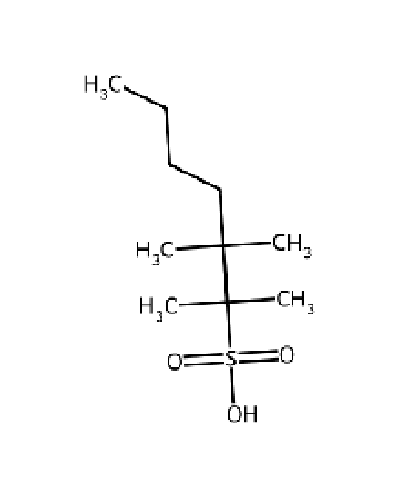 CCCCC(C)(C)C(C)(C)S(=O)(=O)O